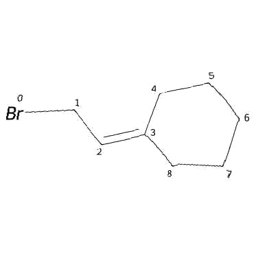 BrCC=C1CCCCC1